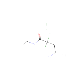 CC(C)[C@H](N)[C@@H](O)C(F)(F)C(=O)NCC(F)(F)F.Cl.Cl